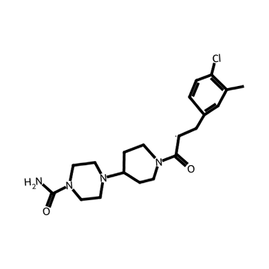 Cc1cc(C[CH]C(=O)N2CCC(N3CCN(C(N)=O)CC3)CC2)ccc1Cl